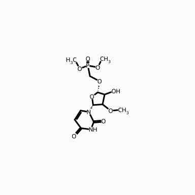 COC1C(O)[C@@H](OCP(=O)(OC)OC)O[C@H]1n1ccc(=O)[nH]c1=O